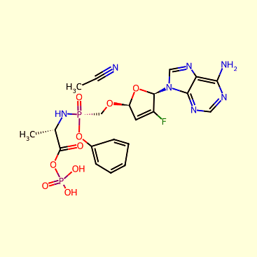 CC#N.C[C@H](N[P@](=O)(CO[C@@H]1C=C(F)[C@H](n2cnc3c(N)ncnc32)O1)Oc1ccccc1)C(=O)OP(=O)(O)O